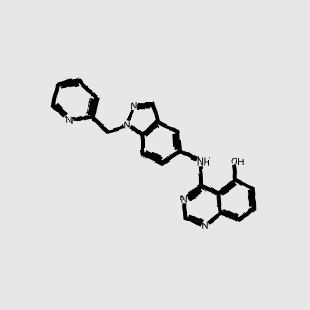 Oc1cccc2ncnc(Nc3ccc4c(cnn4Cc4ccccn4)c3)c12